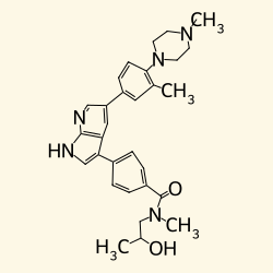 Cc1cc(-c2cnc3[nH]cc(-c4ccc(C(=O)N(C)CC(C)O)cc4)c3c2)ccc1N1CCN(C)CC1